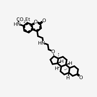 CCOC(=O)Nc1ccc2c(CCNCCO[C@H]3CC[C@H]4[C@@H]5CC[C@H]6CC(=O)CC[C@]6(C)[C@H]5CC[C@]34C)cc(=O)oc2c1